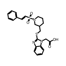 O=C(O)Cn1c(SCC2CCCN(S(=O)(=O)C=Cc3ccccc3)C2)nc2ccccc21